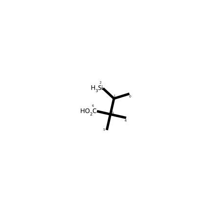 CC([SiH3])C(C)(C)C(=O)O